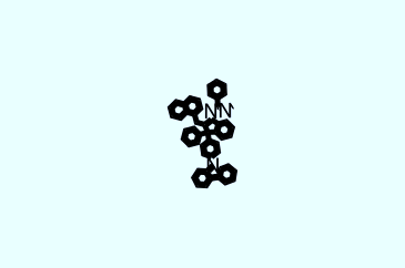 C=N/C(=N\C1=C(Cc2cccc3ccccc23)C(c2ccccc2)(c2ccc(-n3c4ccccc4c4ccccc43)cc2)c2ccccc21)c1ccccc1